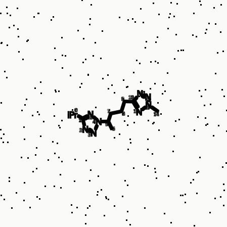 CC(C)c1nnn(C(C)CCCc2nnn(C)n2)n1